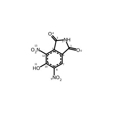 O=C1NC(=O)c2c1cc([N+](=O)[O-])c(O)c2[N+](=O)[O-]